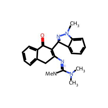 CN/C(=N\C1=C(c2nn(C)c3ccccc23)C(=O)c2ccccc2C1)N(C)C